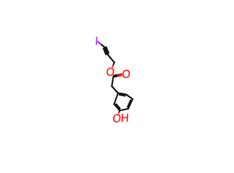 O=C(Cc1cccc(O)c1)OCC#CI